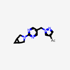 CC(=O)c1cnn(Cc2cnc(N3CC4CC4C3)nc2)c1